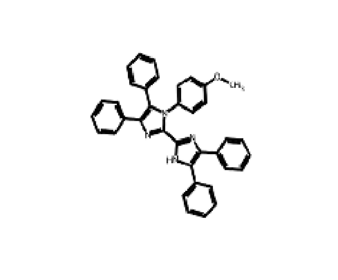 COc1ccc(-n2c(-c3nc(-c4ccccc4)c(-c4ccccc4)[nH]3)nc(-c3ccccc3)c2-c2ccccc2)cc1